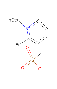 CCCCCCCC[n+]1ccccc1CC.CS(=O)(=O)[O-]